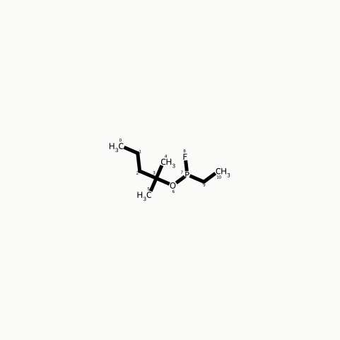 CCCC(C)(C)OP(F)CC